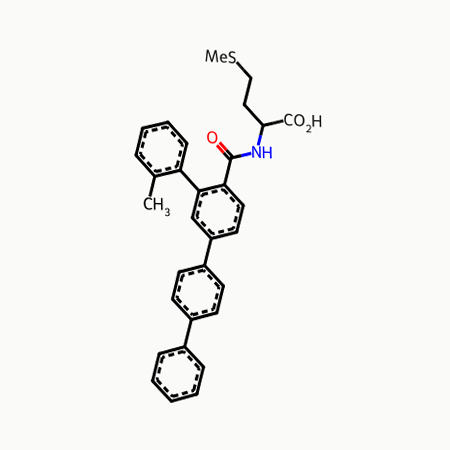 CSCCC(NC(=O)c1ccc(-c2ccc(-c3ccccc3)cc2)cc1-c1ccccc1C)C(=O)O